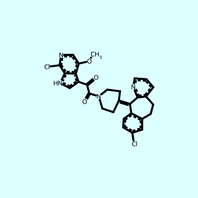 COc1cnc(Cl)c2[nH]cc(C(=O)C(=O)N3CCC(=C4c5ccc(Cl)cc5CCc5cccnc54)CC3)c12